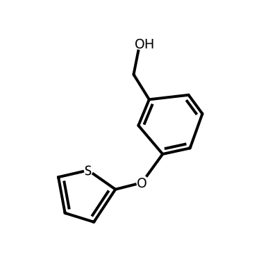 OCc1cccc(Oc2cccs2)c1